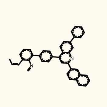 C=Nc1c(/C=C\C)cccc1-c1ccc(-c2cc(-c3ccc4ccccc4c3)nc3cc(-c4ccccc4)ccc23)cc1